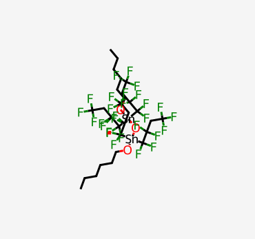 CCCCCC[O][Sn]([O][Sn]([O]CCCCCC)([C](F)(F)C(F)(F)CC(F)(F)F)[C](F)(F)C(F)(F)CC(F)(F)F)([C](F)(F)C(F)(F)CC(F)(F)F)[C](F)(F)C(F)(F)CC(F)(F)F